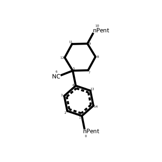 CCCCCc1ccc(C2(C#N)CCC(CCCCC)CC2)cc1